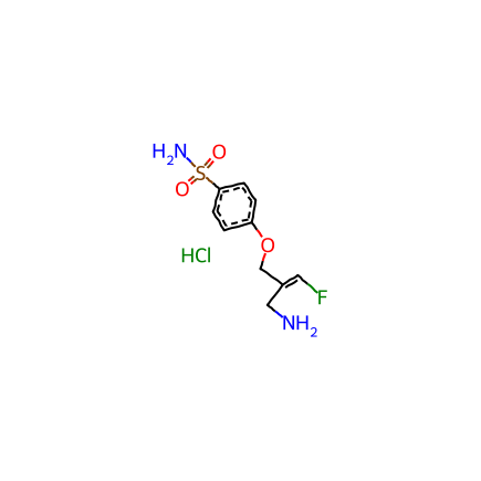 Cl.NCC(=CF)COc1ccc(S(N)(=O)=O)cc1